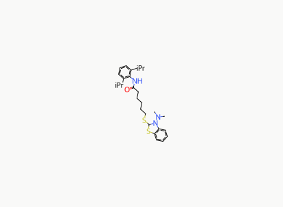 CC(C)c1cccc(C(C)C)c1NC(=O)CCCCCSC1Sc2ccccc2N1N(C)C